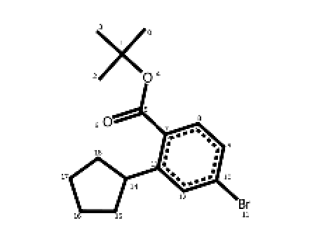 CC(C)(C)OC(=O)c1ccc(Br)cc1C1CCCC1